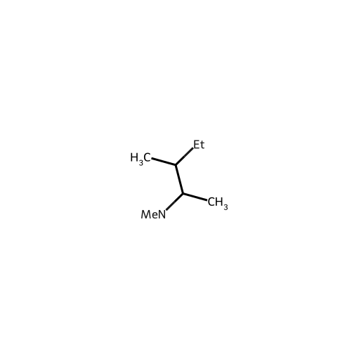 [CH2]NC(C)C(C)CC